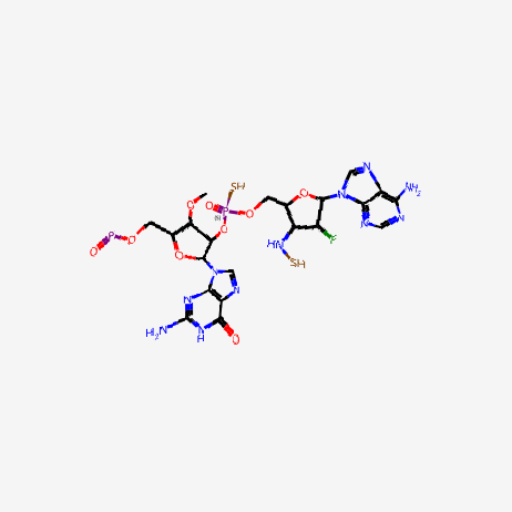 COC1C(COP=O)OC(n2cnc3c(=O)[nH]c(N)nc32)C1O[P@@](=O)(S)OCC1OC(n2cnc3c(N)ncnc32)C(F)C1NS